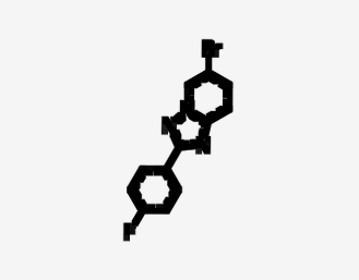 Fc1ccc(-c2nc3ccc(Br)cn3n2)cc1